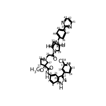 CO[C@@]1(C(=O)Nc2ccc3[nH]nc(-c4ccnc(Cl)c4)c3c2)CCN(CC(=O)N2C[C@@H]3C[C@H]2CN3c2ccc(-c3ncccn3)cc2)C1